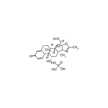 CC(=O)OCC(=O)[C@@]12N=C(C)O[C@@H]1C[C@H]1[C@@H]3CCC4=CC(=O)C=C[C@]4(C)[C@H]3[C@@H](O)C[C@@]12C.O=P(O)(O)O